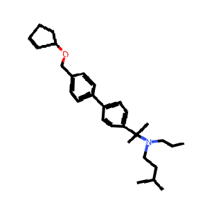 CCCN(CCC(C)C)C(C)(C)c1ccc(-c2ccc(COC3CCCC3)cc2)cc1